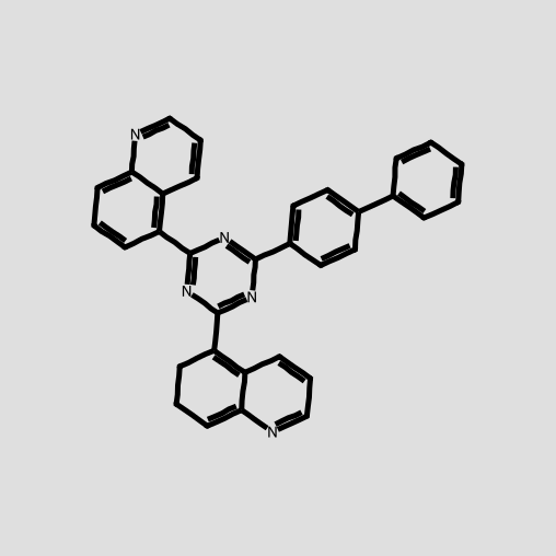 C1=c2ncccc2=C(c2nc(-c3ccc(-c4ccccc4)cc3)nc(-c3cccc4ncccc34)n2)CC1